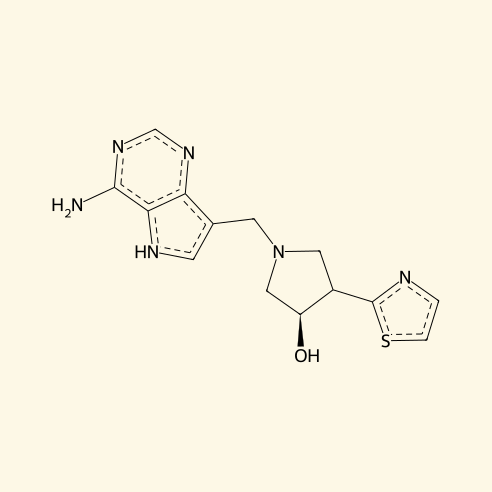 Nc1ncnc2c(CN3CC(c4nccs4)[C@@H](O)C3)c[nH]c12